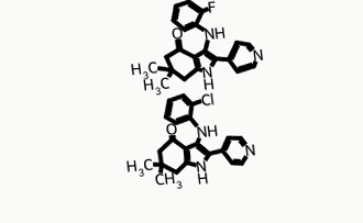 CC1(C)CC(=O)c2c([nH]c(-c3ccncc3)c2Nc2ccccc2Cl)C1.CC1(C)CC(=O)c2c([nH]c(-c3ccncc3)c2Nc2ccccc2F)C1